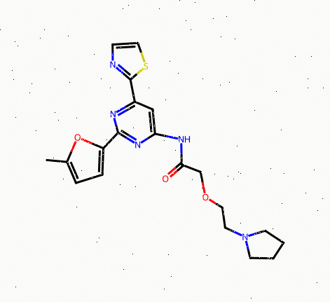 Cc1ccc(-c2nc(NC(=O)COCCN3CCCC3)cc(-c3nccs3)n2)o1